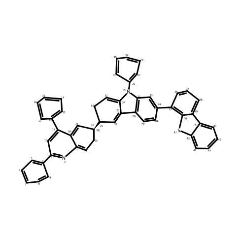 C1=c2nc(-c3ccccc3)cc(-c3ccccc3)c2=C[C@@H](C2C=c3c(n(-c4ccccc4)c4cc(-c5cccc6c5sc5ccccc56)ccc34)=CC2)C1